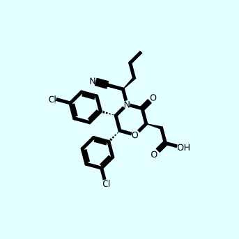 CCC[C@H](C#N)N1C(=O)[C@@H](CC(=O)O)O[C@H](c2cccc(Cl)c2)[C@@H]1c1ccc(Cl)cc1